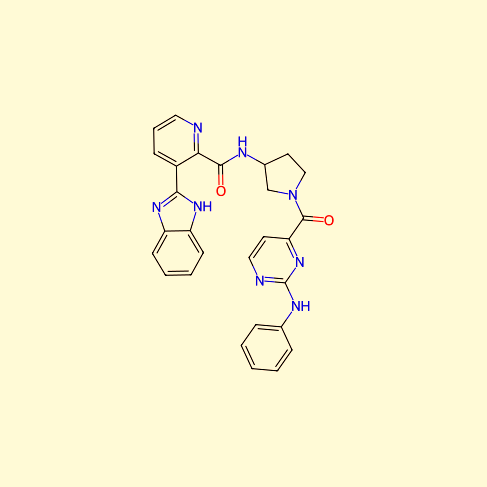 O=C(NC1CCN(C(=O)c2ccnc(Nc3ccccc3)n2)C1)c1ncccc1-c1nc2ccccc2[nH]1